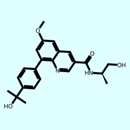 COc1cc(-c2ccc(C(C)(C)O)cc2)c2ncc(C(=O)N[C@H](C)CO)cc2c1